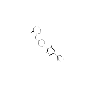 O=C1CCCCN1CC1CCN(c2c(F)cc(-c3cn[nH]c3)cc2F)CC1